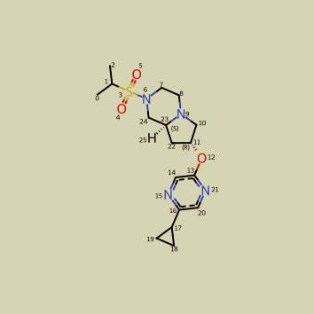 CC(C)S(=O)(=O)N1CCN2C[C@H](Oc3cnc(C4CC4)cn3)C[C@H]2C1